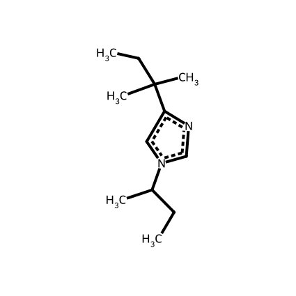 CCC(C)n1cnc(C(C)(C)CC)c1